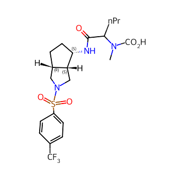 CCCC(C(=O)N[C@H]1CC[C@H]2CN(S(=O)(=O)c3ccc(C(F)(F)F)cc3)C[C@H]21)N(C)C(=O)O